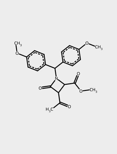 COC(=O)C1C(C(C)=O)C(=O)N1C(c1ccc(OC)cc1)c1ccc(OC)cc1